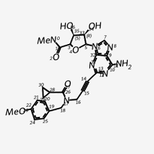 CNC(=O)C1OC(n2cnc3c(N)nc(C#CCN(Cc4ccc(OC)cc4)C(=O)C4CC4)nc32)[C@H](O)[C@@H]1O